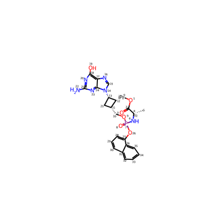 CC(C)OC(=O)[C@H](C)NP(=O)(OC[C@H]1C[C@@H](n2cnc3c(O)nc(N)nc32)C1)Oc1cccc2ccccc12